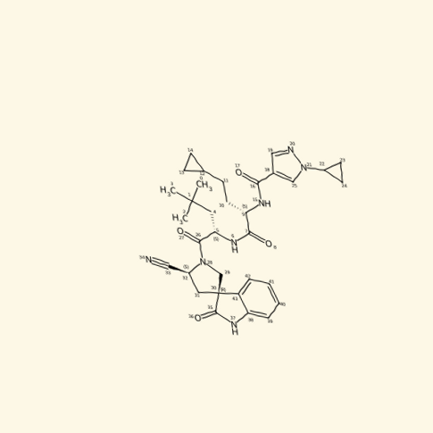 CC(C)(C)C[C@H](NC(=O)[C@H](CCC1CC1)NC(=O)c1cnn(C2CC2)c1)C(=O)N1C[C@]2(C[C@H]1C#N)C(=O)Nc1ccccc12